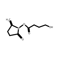 C=C1CCC(=O)N1OC(=O)CCCO